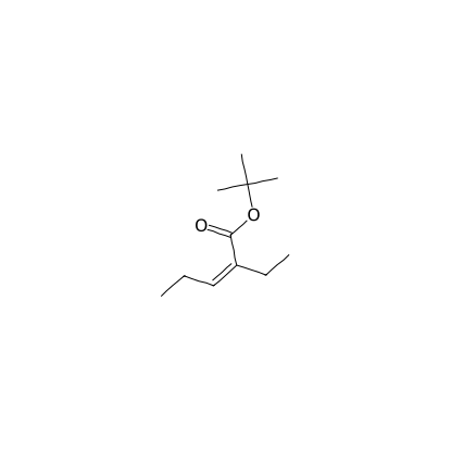 CCC=C(CC)C(=O)OC(C)(C)C